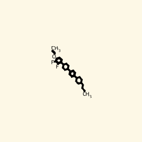 C/C=C/Oc1ccc(C2CCC(c3ccc(C4CCC(CCCC)CC4)cc3)CC2)c(F)c1F